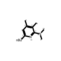 CCCCc1[c]c(C)c(C)c(N(C)C)n1